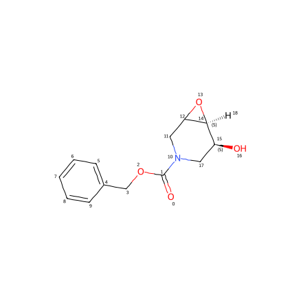 O=C(OCc1ccccc1)N1CC2O[C@H]2[C@@H](O)C1